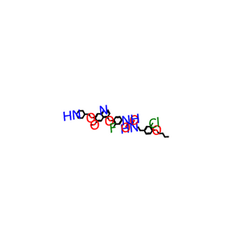 CCCCOc1ccc(CCNC(=O)C(=O)Nc2ccc(Oc3ccnc4cc(OCC5CCNCC5)c(OC)cc34)c(F)c2)cc1Cl